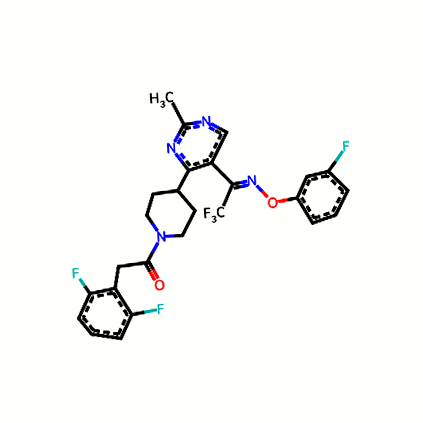 Cc1ncc(C(=NOc2cccc(F)c2)C(F)(F)F)c(C2CCN(C(=O)Cc3c(F)cccc3F)CC2)n1